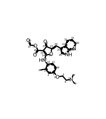 Cc1cc(OCCN(C)C)ccc1NC1=C(C(=O)OC=O)C(=O)C(=Cc2c[nH]c3ncccc23)O1